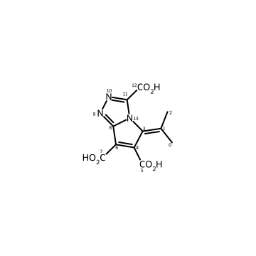 CC(C)=c1c(C(=O)O)c(C(=O)O)c2nnc(C(=O)O)n12